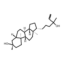 C=CC(C)(O)CCC[C@H]1CC[C@H]2[C@@H]3CC[C@H]4C[C@@](C)(O)CC[C@]4(C)[C@H]3CC[C@]12C